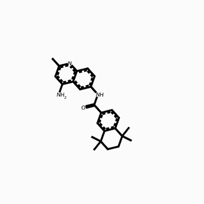 Cc1cc(N)c2cc(NC(=O)c3ccc4c(c3)C(C)(C)CCC4(C)C)ccc2n1